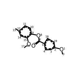 COc1ccc(C(=O)Oc2ccc(C)cc2OC)cc1